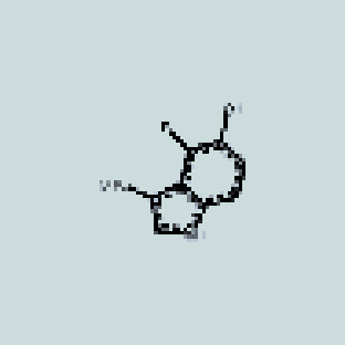 O=Cc1c[nH]c2ccc(O)c(F)c12